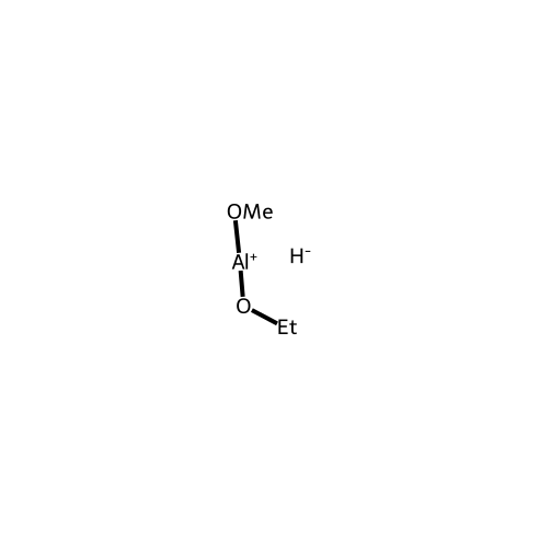 CC[O][Al+][O]C.[H-]